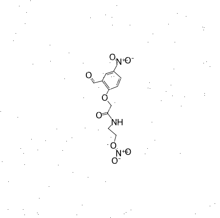 O=Cc1cc([N+](=O)[O-])ccc1OCC(=O)NCCO[N+](=O)[O-]